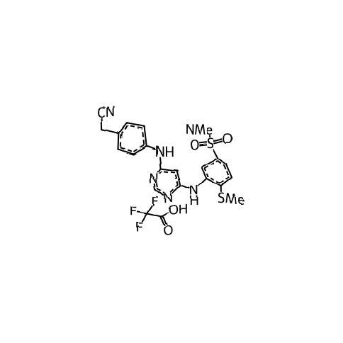 CNS(=O)(=O)c1ccc(SC)c(Nc2cc(Nc3ccc(CC#N)cc3)ncn2)c1.O=C(O)C(F)(F)F